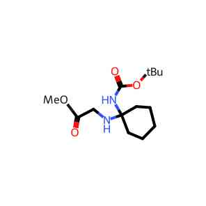 COC(=O)CNC1(NC(=O)OC(C)(C)C)CCCCC1